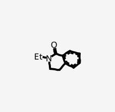 CCN1CCc2ccccc2C1=O